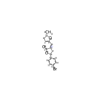 CC1CC=C(/C=C2/CC(c3ccc(Br)cc3)OC2=O)O1